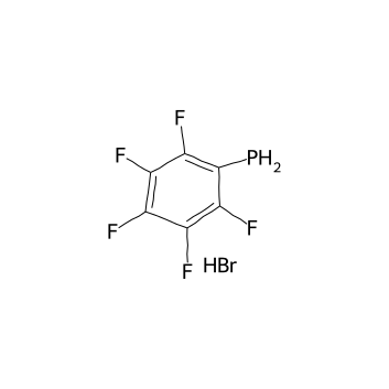 Br.Fc1c(F)c(F)c(P)c(F)c1F